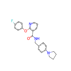 O=C(NCc1ccc(N2CCCC2)cc1)c1cccnc1Oc1ccc(F)cc1